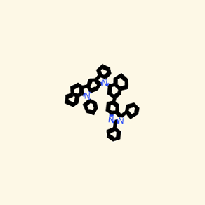 c1ccc(-c2nc(-c3ccccc3)c3cc(-c4cc(-n5c6ccccc6c6cc7c8ccc9ccccc9c8n(-c8ccccc8)c7cc65)c5ccccc5c4)ccc3n2)cc1